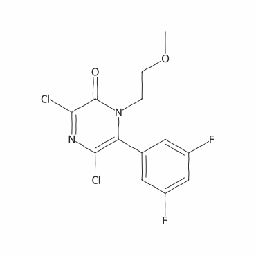 COCCn1c(-c2cc(F)cc(F)c2)c(Cl)nc(Cl)c1=O